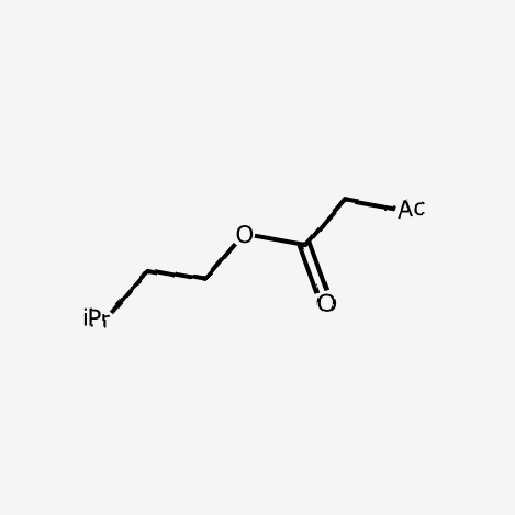 [CH2]C(C)CCOC(=O)CC(C)=O